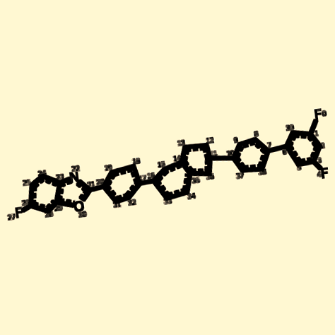 Fc1cc(F)cc(-c2ccc(-c3ccc4cc(-c5ccc(-c6nc7ccc(F)cc7o6)cc5)ccc4c3)cc2)c1